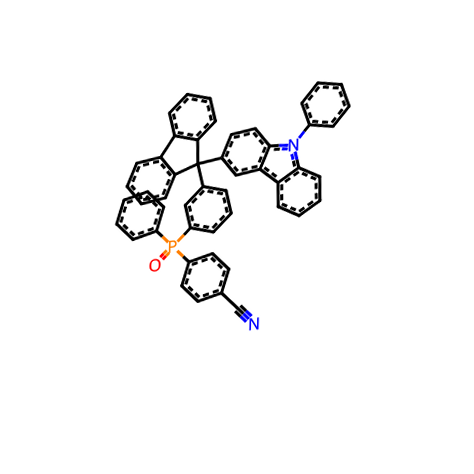 N#Cc1ccc(P(=O)(c2ccccc2)c2cccc(C3(c4ccc5c(c4)c4ccccc4n5-c4ccccc4)c4ccccc4-c4ccccc43)c2)cc1